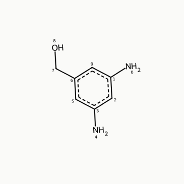 Nc1cc(N)cc(CO)c1